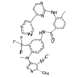 [C-]#[N+]c1c(O)nsc1N(C)c1ccc(NC(=O)c2ccc(C)c(Nc3nccc(-c4cccnc4)n3)c2)cc1C(F)(F)F